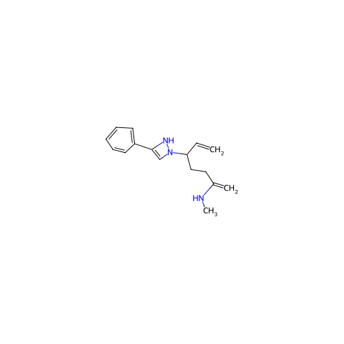 C=CC(CCC(=C)NC)n1cc(-c2ccccc2)[nH]1